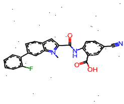 Cn1c(C(=O)Nc2ccc(C#N)cc2C(=O)O)cc2ccc(-c3ccccc3F)cc21